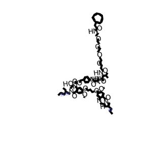 C/C=C/C1=CN2C(=O)c3cc(OC)c(OCCCOc4cc5c(cc4OC)C(=O)N(/C=C(/C=C/C)CC)C[C@H](O)N5C(=O)OCc4ccc(NC(=O)[C@H](C)NC(=O)[C@@H](NC(=O)CCOCCOCCOCCOCCNC(=O)Cc5ccccccccc5)C(C)C)cc4)cc3N=C[C@@H]2C1